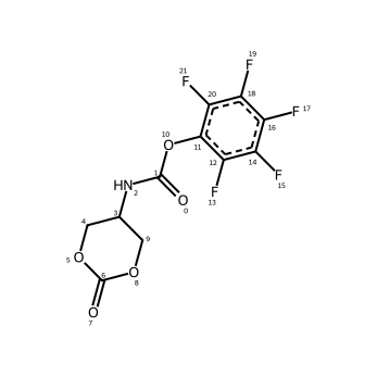 O=C(NC1COC(=O)OC1)Oc1c(F)c(F)c(F)c(F)c1F